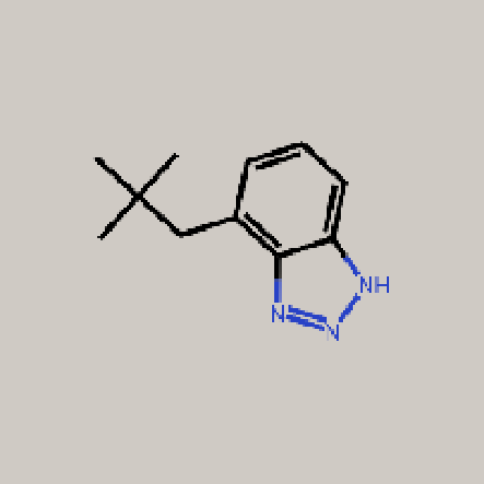 CC(C)(C)Cc1cccc2[nH]nnc12